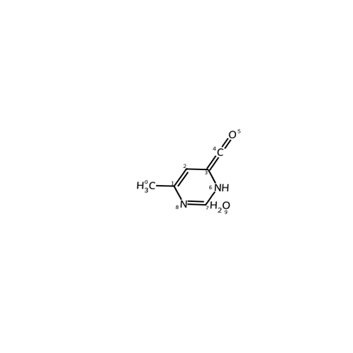 CC1=CC(=C=O)NC=N1.O